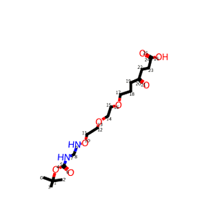 CC(C)(C)OC(=O)NCNOCCOCCOCCCC(=O)CCC(=O)O